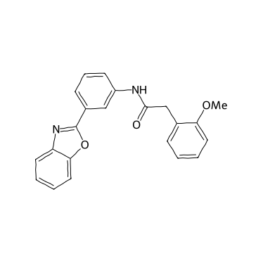 COc1ccccc1CC(=O)Nc1cccc(-c2nc3ccccc3o2)c1